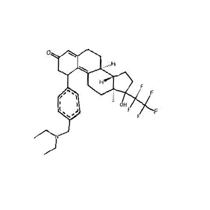 CCN(CC)Cc1ccc(C2CC(=O)C=C3CC[C@@H]4C(=C32)CC[C@@]2(C)[C@H]4CCC2(O)C(F)(F)C(F)(F)F)cc1